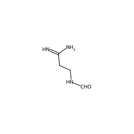 N=C(N)CCNC=O